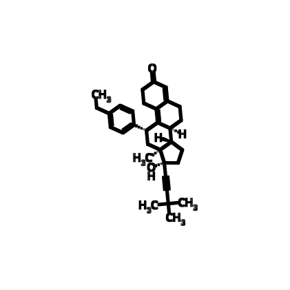 CCc1ccc([C@H]2C[C@@]3(C)[C@@H](CC[C@@]3(O)C#CC(C)(C)C)[C@@H]3CCC4=CC(=O)CCC4=C32)cc1